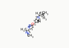 Cc1nn(C)cc1-c1ccc(OCC2CC3CN(CCC(C)(C)C)C[C@H]3C2)nn1